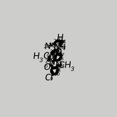 C[C@H](CN1C(=O)c2cc(Cl)ccc2N(C)c2ccccc21)NCC(=O)N1[C@H](C#N)C[C@@H]2C[C@@H]21